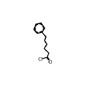 O=C(Cl)CCCCCc1ccccc1